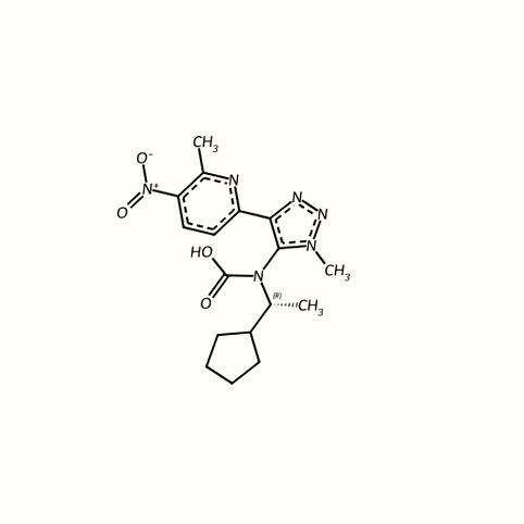 Cc1nc(-c2nnn(C)c2N(C(=O)O)[C@H](C)C2CCCC2)ccc1[N+](=O)[O-]